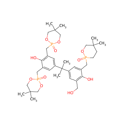 CC1(C)CCP(=O)(Cc2cc(C(C)(C)c3cc(CP4(=O)OCC(C)(C)CO4)c(O)c(CP4(=O)OCC(C)(C)CO4)c3)cc(CO)c2O)OC1